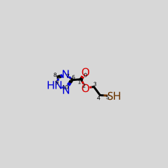 O=C(OCCS)c1nc[nH]n1